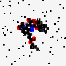 CCOC(=O)C=Cc1ccc([N+](=O)[O-])c(C[C@H](NC(=O)OC(C)(C)C)C(=O)O)c1